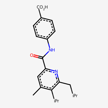 Cc1cc(C(=O)Nc2ccc(C(=O)O)cc2)nc(CC(C)C)c1C(C)C